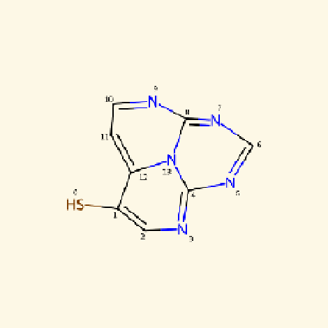 SC1=CN=C2N=CN=C3N=CC=C1N32